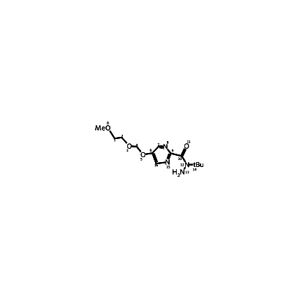 COCCOCOc1cnc(C(=O)N(N)C(C)(C)C)nc1